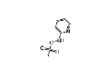 CS(=O)(=O)ONc1ccccn1